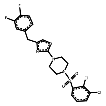 O=S(=O)(c1cccc(Cl)c1Cl)N1CCN(c2nc(Cc3ccc(F)c(F)c3)cs2)CC1